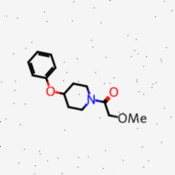 COCC(=O)N1CCC(Oc2ccccc2)CC1